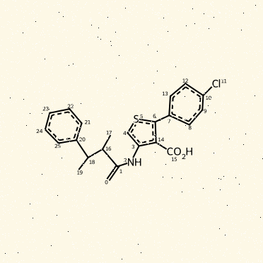 C=C(Nc1csc(-c2ccc(Cl)cc2)c1C(=O)O)C(C)C(C)c1ccccc1